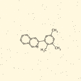 Cc1cc(C)c(C)c(-c2cc3ccccc3cn2)c1